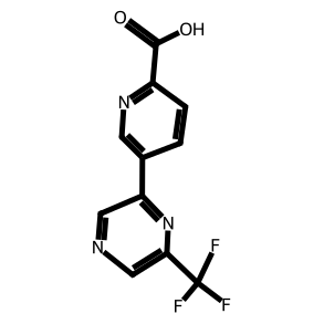 O=C(O)c1ccc(-c2cncc(C(F)(F)F)n2)cn1